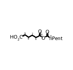 CCCCCC(=O)OC(=O)CCCCC(=O)O